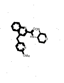 COc1ccc(Cc2cc(C(=O)N[C@H]3CCOC[C@@H]3N=O)nc3ccccc23)cn1